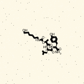 CC(C)C[C@H](NC(=O)C(C)OC(=O)NCCCCCCO)C(=O)N[C@@H](Cc1ccc(O)cc1)C(N)=O